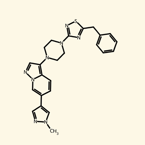 Cn1cc(-c2ccc3c(N4CCN(c5nsc(Cc6ccccc6)n5)CC4)cnn3c2)cn1